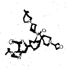 CC(C)n1cnc2cc(-c3ccc4c(c3)N([C@H]3C[C@@H](N5CCC(C)(C)C5)C3)C(=O)C43CCN(C4COC4)CC3)nc(Cl)c21